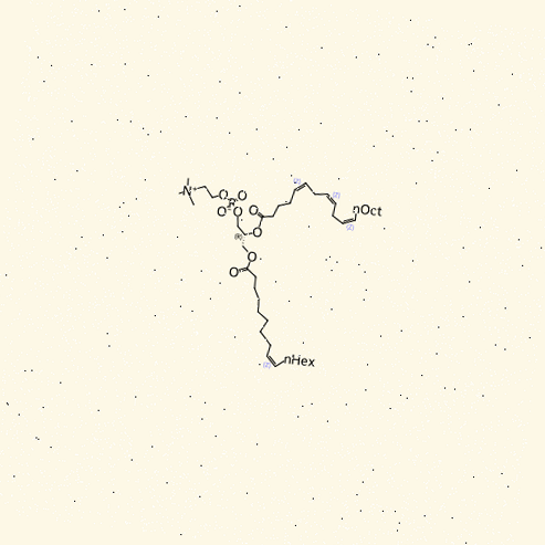 CCCCCC/C=C\CCCCCCCC(=O)OC[C@H](COP(=O)([O-])OCC[N+](C)(C)C)OC(=O)CCC/C=C\C/C=C\C/C=C\CCCCCCCC